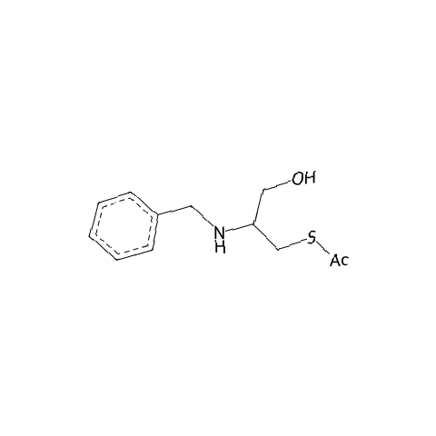 CC(=O)SCC(CO)NCc1ccccc1